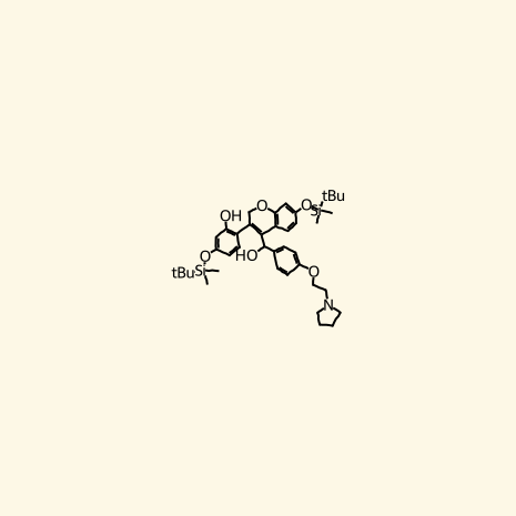 CC(C)(C)[Si](C)(C)Oc1ccc(C2=C(C(O)c3ccc(OCCN4CCCC4)cc3)c3ccc(O[Si](C)(C)C(C)(C)C)cc3OC2)c(O)c1